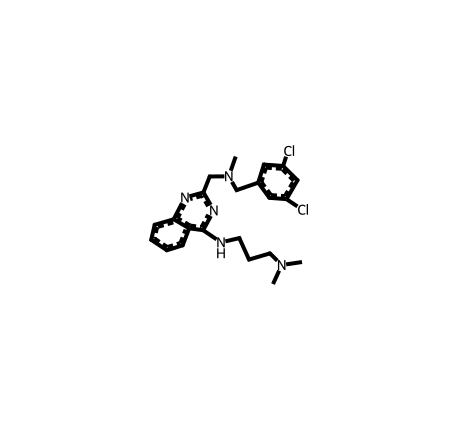 CN(C)CCCNc1nc(CN(C)Cc2cc(Cl)cc(Cl)c2)nc2ccccc12